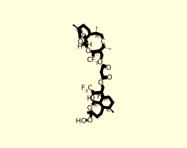 C[C@@H]1CC[C@H]2C(COC(=O)CC(=O)OC/C3=C(\C(F)(F)F)O[C@@H]4O[C@]5(C)CCC([C@H](C)CC[C@@H]3C)[C@@H]4OO5)=C(C(F)(F)F)O[C@@H]3OC(C)(OO)CCC1C32